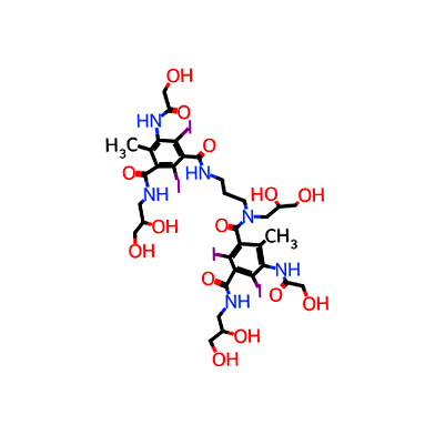 Cc1c(NC(=O)CO)c(I)c(C(=O)NCCCN(CC(O)CO)C(=O)c2c(C)c(NC(=O)CO)c(I)c(C(=O)NCC(O)CO)c2I)c(I)c1C(=O)NCC(O)CO